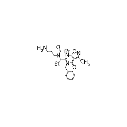 CCC(c1nc2onc(C)c2c(=O)n1Cc1ccccc1)N(CCCN)C(=O)C(C)C